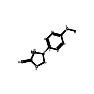 CSc1ccc([C@@H]2COC(=O)N2)cc1